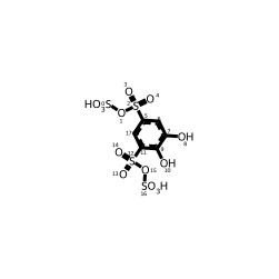 O=S(=O)(O)OS(=O)(=O)c1cc(O)c(O)c(S(=O)(=O)OS(=O)(=O)O)c1